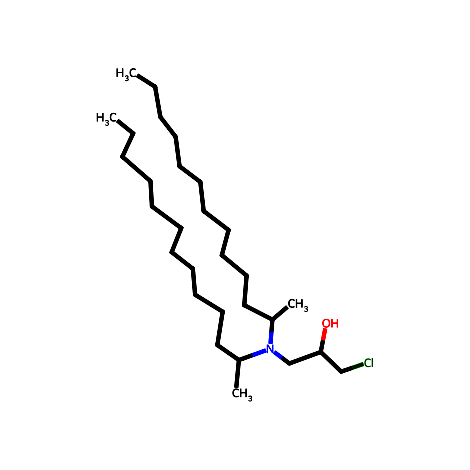 CCCCCCCCCCCC(C)N(CC(O)CCl)C(C)CCCCCCCCCCC